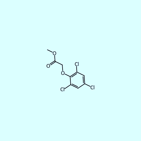 COC(=O)COc1c(Cl)cc(Cl)cc1Cl